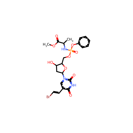 COC(=O)C(C)NP(=O)(OCC1OC(n2cc(/C=C/Br)c(=O)[nH]c2=O)CC1O)Oc1ccccc1